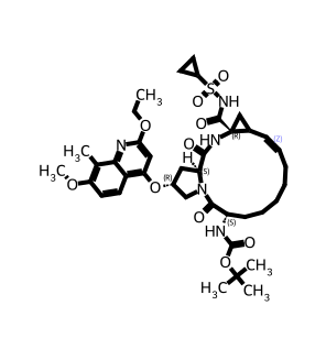 CCOc1cc(O[C@@H]2C[C@H]3C(=O)N[C@]4(C(=O)NS(=O)(=O)C5CC5)CC4/C=C\CCCCC[C@H](NC(=O)OC(C)(C)C)C(=O)N3C2)c2ccc(OC)c(C)c2n1